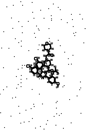 COc1ccc(C2=NC(C)(c3ccc(Cl)cc3)C(c3ccc(Cl)cc3)N2C(=O)N2CCN(CC(=O)N3CCOCC3)CC2)c(OC(C)C)c1